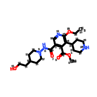 CC(C)(C)OC(=O)c1c(C(=O)NN2CCC(CCO)CC2)cnc(OCC(F)(F)F)c1C1CCNCC1